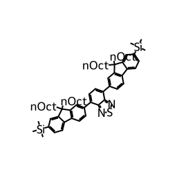 CCCCCCCCC1(CCCCCCCC)c2cc(-c3ccc(-c4ccc5c(c4)C(CCCCCCCC)(CCCCCCCC)c4cc([Si](C)(C)C)ccc4-5)c4nsnc34)ccc2-c2ccc([Si](C)(C)C)cc21